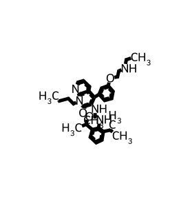 CCCCn1c(=O)c(NC(=O)Nc2c(C(C)C)cccc2C(C)C)c(-c2cccc(OCCNCC)c2)c2cccnc21